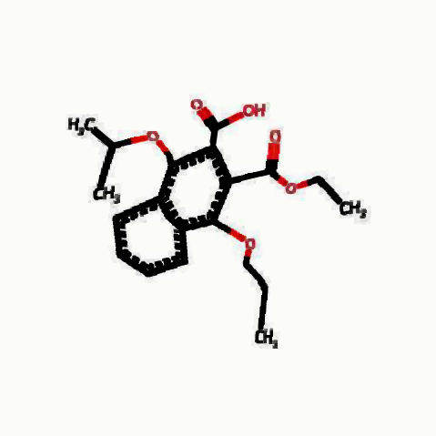 CCCOc1c(C(=O)OCC)c(C(=O)O)c(OC(C)C)c2ccccc12